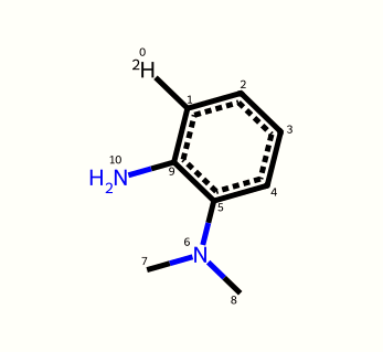 [2H]c1cccc(N(C)C)c1N